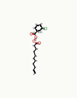 C=CCCCCCCCCC(=O)OOC(=O)c1cccc(Cl)c1